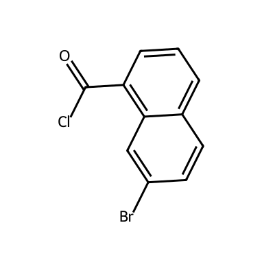 O=C(Cl)c1cccc2ccc(Br)cc12